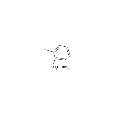 Cc1ccccc1S(=O)(=O)O.[InH3]